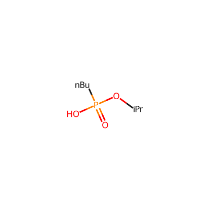 CCCCP(=O)(O)OC(C)C